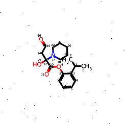 CC(C)c1ccccc1OC(=O)C(O)(CC=O)N1CCCCC1